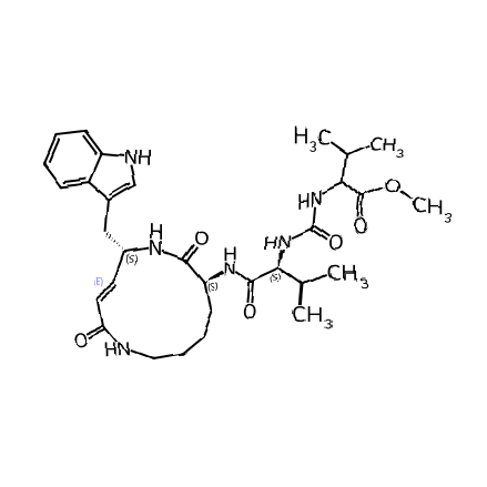 COC(=O)C(NC(=O)N[C@H](C(=O)N[C@H]1CCCCNC(=O)/C=C/[C@H](Cc2c[nH]c3ccccc23)NC1=O)C(C)C)C(C)C